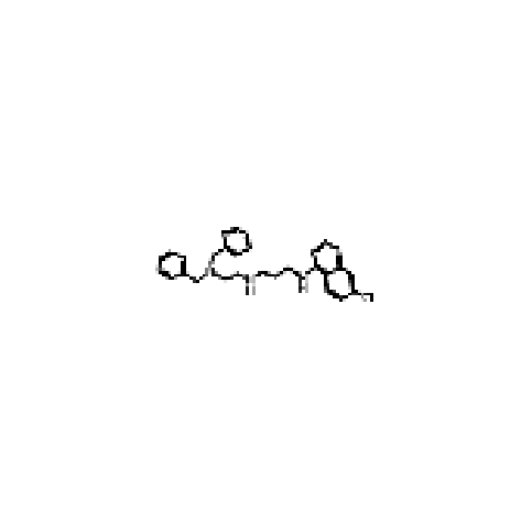 Clc1ccc2c(NCCCNCCN(Cc3ccccc3)Cc3ccccc3)ccnc2c1